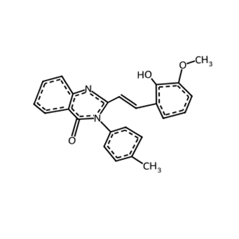 COc1cccc(/C=C/c2nc3ccccc3c(=O)n2-c2ccc(C)cc2)c1O